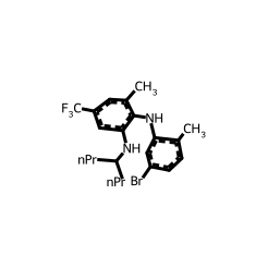 CCCC(CCC)Nc1cc(C(F)(F)F)cc(C)c1Nc1cc(Br)ccc1C